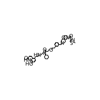 Cc1nc(C(=O)N2CCOC3(CCN(Cc4cccc(CCOCCC(=O)N(CCNCCc5ccc(O)c6[nH]c(=O)ccc56)C5CCCCC5)c4)CC3)C2)cs1